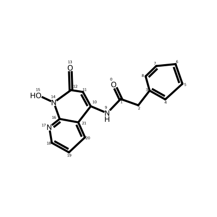 O=C(Cc1ccccc1)Nc1cc(=O)n(O)c2ncccc12